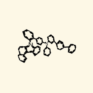 c1ccc(-c2ccc(-c3cccc(N(c4ccccc4)c4ccc(-c5ccccc5-n5c6ccccc6c6c7ccccc7ccc65)cc4)c3)cc2)cc1